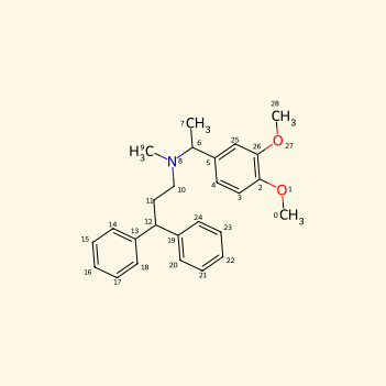 COc1ccc(C(C)N(C)CCC(c2ccccc2)c2ccccc2)cc1OC